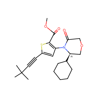 COC(=O)c1sc(C#CC(C)(C)C)cc1N1C(=O)COC[C@H]1C1CCCCC1